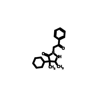 CC1NN(CC(=O)c2ccccc2)C(=O)C1(C)C1CCCCC1